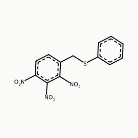 O=[N+]([O-])c1ccc(CSc2ccccc2)c([N+](=O)[O-])c1[N+](=O)[O-]